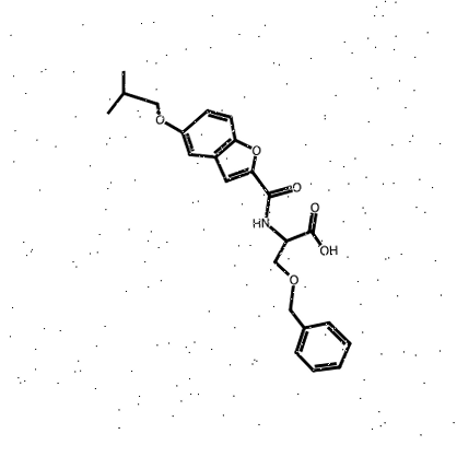 CC(C)COc1ccc2oc(C(=O)NC(COCc3ccccc3)C(=O)O)cc2c1